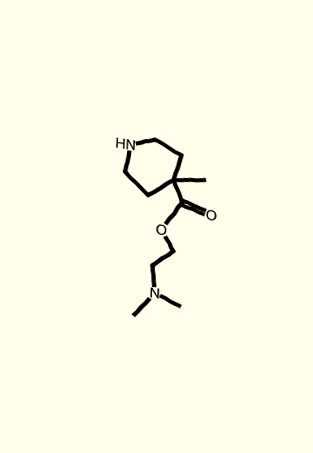 CN(C)CCOC(=O)C1(C)CCNCC1